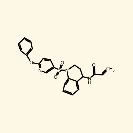 C=CC(=O)NC1CCN(S(=O)(=O)c2ccc(Oc3ccccc3)nc2)c2ccccc21